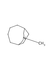 CN1CC2CCCCC(CC2)C1